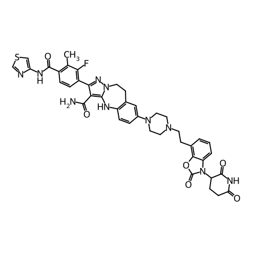 Cc1c(C(=O)Nc2cscn2)ccc(-c2nn3c(c2C(N)=O)Nc2ccc(N4CCN(CCc5cccc6c5oc(=O)n6C5CCC(=O)NC5=O)CC4)cc2CC3)c1F